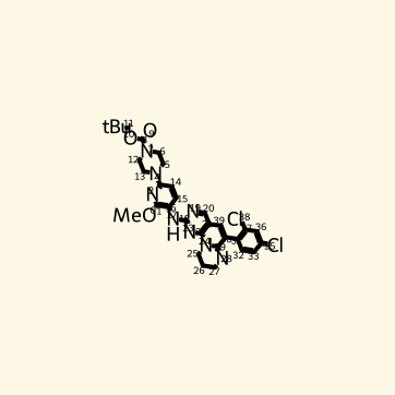 COc1nc(N2CCN(C(=O)OC(C)(C)C)CC2)ccc1Nc1ncc2c(n1)N1CCCN=C1C(c1ccc(Cl)cc1Cl)=C2